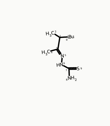 CCC(C)C(C)C(C)=NNC(N)=S